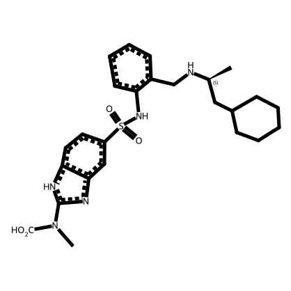 C[C@@H](CC1CCCCC1)NCc1ccccc1NS(=O)(=O)c1ccc2[nH]c(N(C)C(=O)O)nc2c1